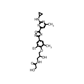 CCc1cc(-c2noc(-c3cc(C)nc(NC4CC4)n3)n2)cc(C)c1OCC(O)CNC(=O)CO